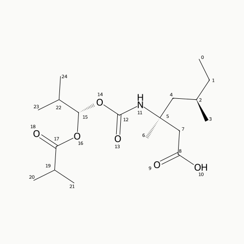 CC[C@@H](C)C[C@@](C)(CC(=O)O)NC(=O)O[C@H](OC(=O)C(C)C)C(C)C